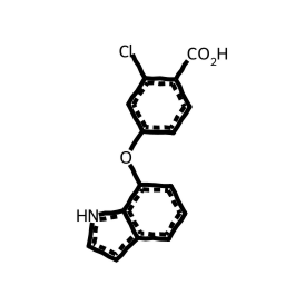 O=C(O)c1ccc(Oc2cccc3cc[nH]c23)cc1Cl